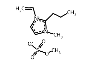 C=C[n+]1ccn(C)c1CCC.COS(=O)(=O)[O-]